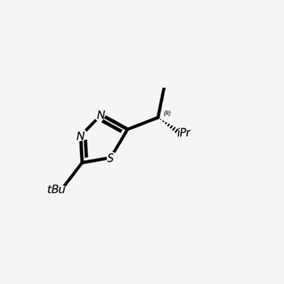 CC(C)[C@@H](C)c1nnc(C(C)(C)C)s1